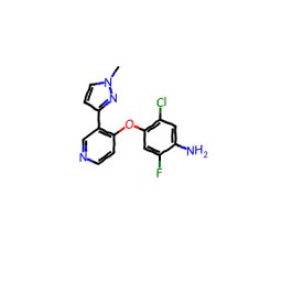 Cn1ccc(-c2cnccc2Oc2cc(F)c(N)cc2Cl)n1